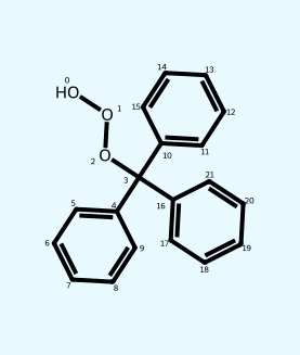 OOOC(c1ccccc1)(c1ccccc1)c1ccccc1